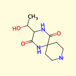 CC(O)C1NC(=O)C2(CC[N]CC2)NC1=O